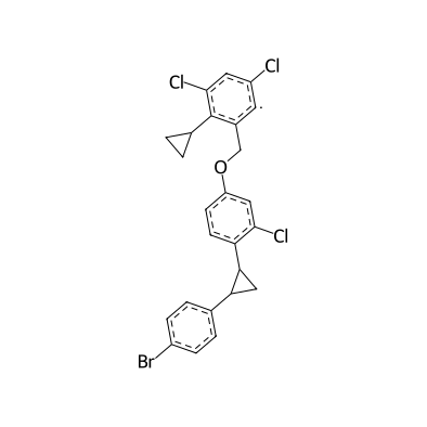 Clc1[c]c(COc2ccc(C3CC3c3ccc(Br)cc3)c(Cl)c2)c(C2CC2)c(Cl)c1